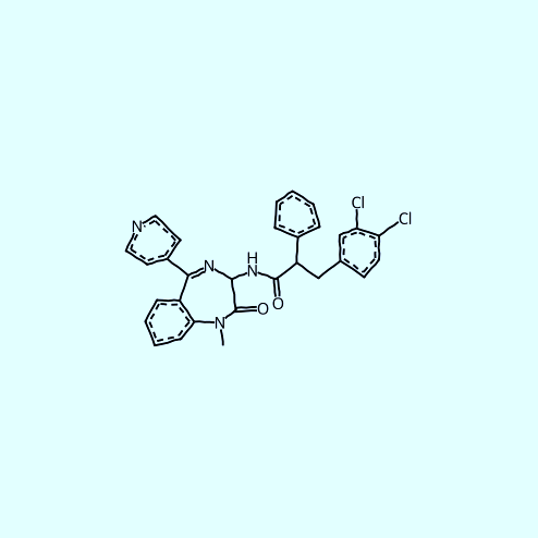 CN1C(=O)C(NC(=O)C(Cc2ccc(Cl)c(Cl)c2)c2ccccc2)N=C(c2ccncc2)c2ccccc21